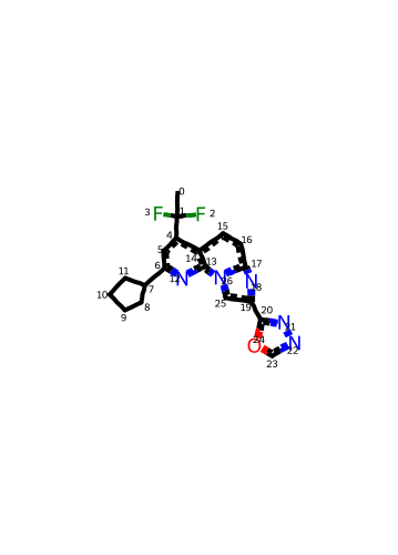 CC(F)(F)c1cc(C2CCCC2)nc2c1ccc1nc(-c3nnco3)cn12